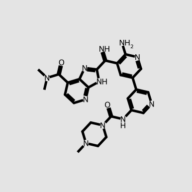 CN1CCN(C(=O)Nc2cncc(-c3cnc(N)c(C(=N)c4nc5c(C(=O)N(C)C)ccnc5[nH]4)c3)c2)CC1